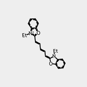 CCN1C(=CC=CC=Cc2oc3ccccc3[n+]2CC)Oc2ccccc21